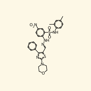 Cc1ccc(NS(=O)(=O)c2cc([N+](=O)[O-])ccc2NN=Cc2sc(N3CCOCC3)nc2-c2ccccc2)c(C)c1